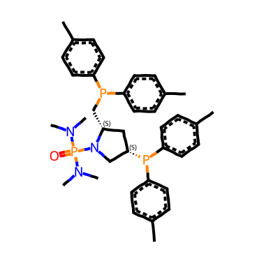 Cc1ccc(P(C[C@@H]2C[C@H](P(c3ccc(C)cc3)c3ccc(C)cc3)CN2P(=O)(N(C)C)N(C)C)c2ccc(C)cc2)cc1